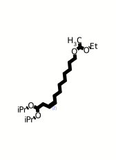 CCOC(C)OCCCCCCCC/C=C\CC(OC(C)C)OC(C)C